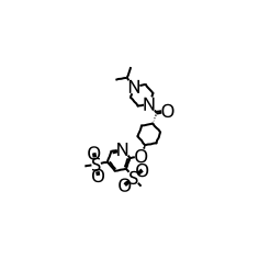 CC(C)N1CCN(C(=O)[C@H]2CC[C@H](Oc3ncc(S(C)(=O)=O)cc3S(C)(=O)=O)CC2)CC1